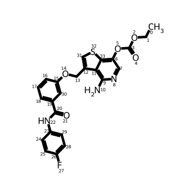 CCOC(=O)Oc1cnc(N)c2c(COc3cccc(C(=O)Nc4ccc(F)cc4)c3)csc12